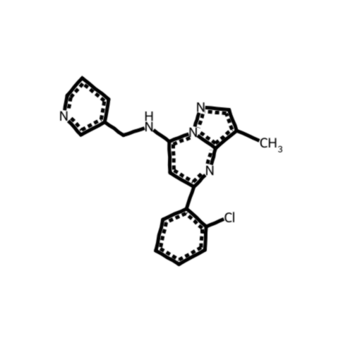 Cc1cnn2c(NCc3cccnc3)cc(-c3ccccc3Cl)nc12